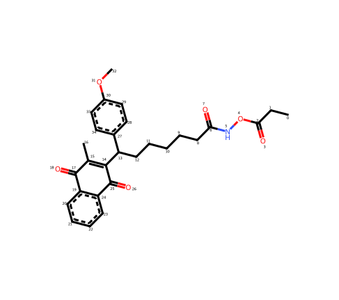 CCC(=O)ONC(=O)CCCCCC(C1=C(C)C(=O)c2ccccc2C1=O)c1ccc(OC)cc1